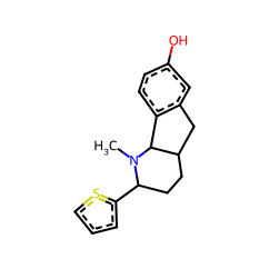 CN1C(c2cccs2)CCC2Cc3cc(O)ccc3C21